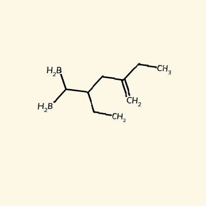 BC(B)C(CC)CC(=C)CC